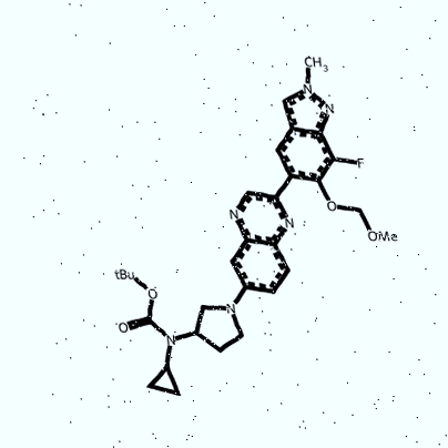 COCOc1c(-c2cnc3cc(N4CCC(N(C(=O)OC(C)(C)C)C5CC5)C4)ccc3n2)cc2cn(C)nc2c1F